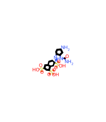 NC(=O)Nc1cc(N)ccc1N=NC1(S(=O)(=O)O)C=Cc2cc(S(=O)(=O)O)cc(S(=O)(=O)O)c2C1